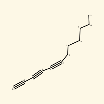 C#CC#CC#CCCCCCC